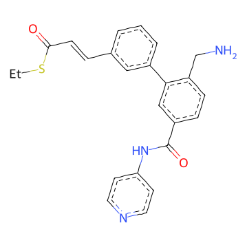 CCSC(=O)C=Cc1cccc(-c2cc(C(=O)Nc3ccncc3)ccc2CN)c1